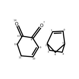 C1=CC2CCC1C2.O=C1C=CCCC1=O